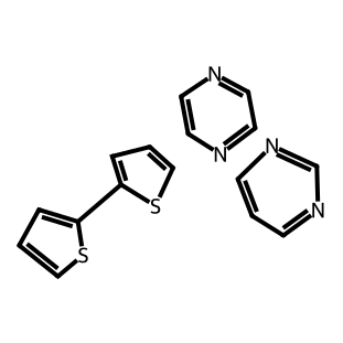 c1cnccn1.c1cncnc1.c1csc(-c2cccs2)c1